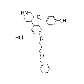 Cc1ccc(COC2CNCCC2c2ccc(OCCCOCc3ccccc3)cc2)cc1.Cl